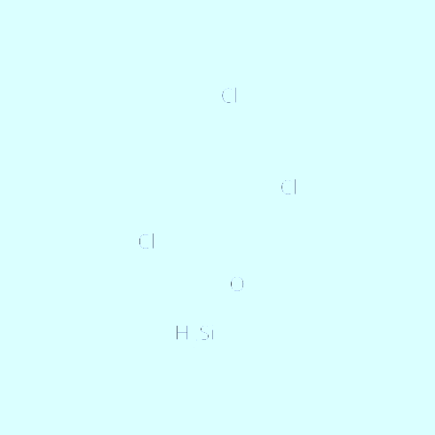 [SiH3]OC(Cl)C(Cl)CCl